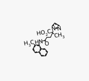 Cc1ccc2ccccc2c1NC(=O)CCC(C)(C(=O)O)n1cccn1